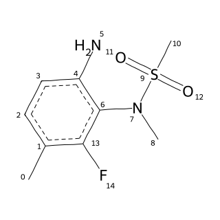 Cc1ccc(N)c(N(C)S(C)(=O)=O)c1F